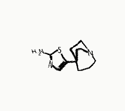 Nc1ncc(C23CCCN(CC2)C3)s1